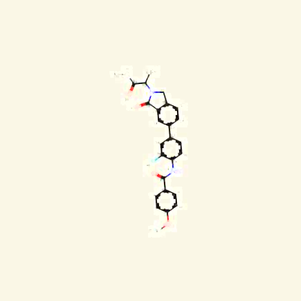 CCCCOc1ccc(C(=O)Nc2ccc(-c3ccc4c(c3)C(=O)N(C(C(=O)OC)C(C)C)C4)cc2F)cc1